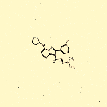 CN(C)/C=C/C(=O)c1c(-c2cccc(Br)c2)nn2c(NC3CCCC3)cccc12